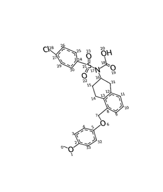 COc1ccc(OCc2cccc3c2CCC(N(C(=O)O)S(=O)(=O)c2ccc(Cl)cc2)C3)cc1